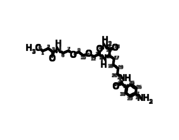 CCCC(=O)NCCOCCOCC(=O)NC(CCCCNC(=O)c1ccc(N)cc1)C(N)=O